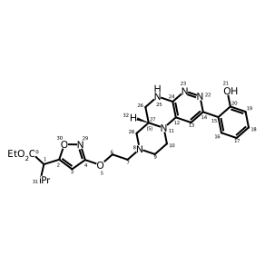 CCOC(=O)C(c1cc(OCCN2CCN3c4cc(-c5ccccc5O)nnc4NC[C@H]3C2)no1)C(C)C